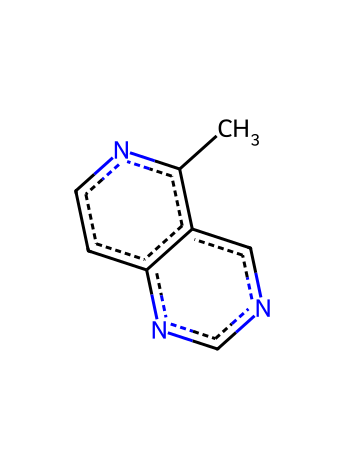 Cc1nccc2ncncc12